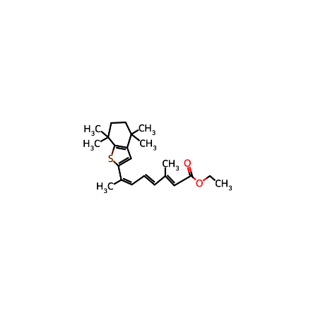 CCOC(=O)/C=C(C)/C=C/C=C(/C)c1cc2c(s1)C(C)(C)CCC2(C)C